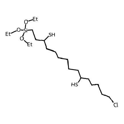 CCO[Si](CCC(S)CCCCCCC(S)CCCCCCl)(OCC)OCC